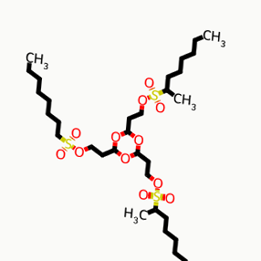 CCCCCCCCS(=O)(=O)OCCC1OC(CCOS(=O)(=O)C(C)CCCCCC)OC(CCOS(=O)(=O)C(C)CCCCCC)O1